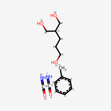 Cc1ccccc1.N=C=O.N=C=O.OCCCC(CO)CO